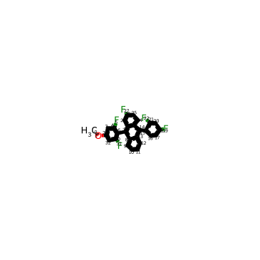 COc1cc(F)c(-c2c3ccccc3c(-c3ccc(F)cc3F)c3ccc(F)cc23)c(F)c1